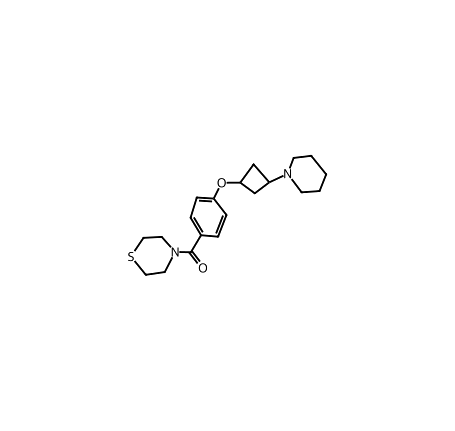 O=C(c1ccc(OC2CC(N3CCCCC3)C2)cc1)N1CCSCC1